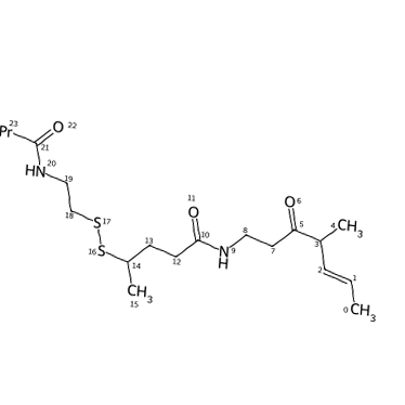 CC=CC(C)C(=O)CCNC(=O)CCC(C)SSCCNC(=O)C(C)C